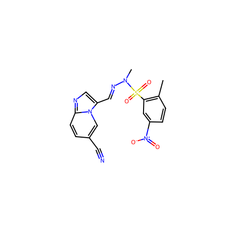 Cc1ccc([N+](=O)[O-])cc1S(=O)(=O)N(C)N=Cc1cnc2ccc(C#N)cn12